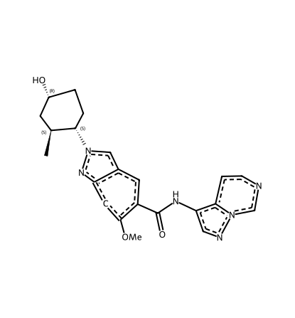 COc1cc2nn([C@H]3CC[C@@H](O)C[C@@H]3C)cc2cc1C(=O)Nc1cnn2cnccc12